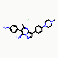 Cc1nc2c(-c3ccc(N4CCN(C)CC4)cc3)cnn2c(N)c1-c1ccc(N)cc1.Cl